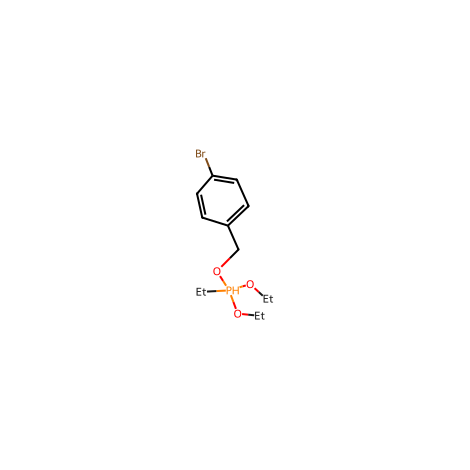 CCO[PH](CC)(OCC)OCc1ccc(Br)cc1